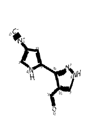 [C-]#[N+]c1c[nH]c(-c2n[nH]cc2C=O)c1